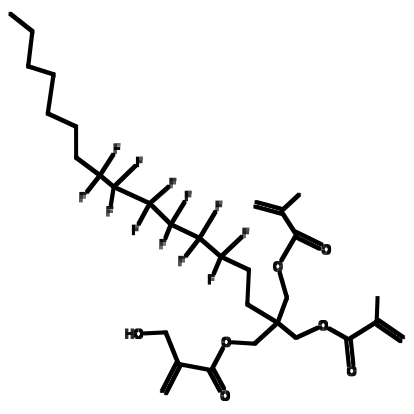 C=C(C)C(=O)OCC(CCC(F)(F)C(F)(F)C(F)(F)C(F)(F)C(F)(F)C(F)(F)CCCCCCC)(COC(=O)C(=C)C)COC(=O)C(=C)CO